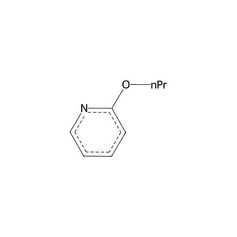 C[CH]COc1ccccn1